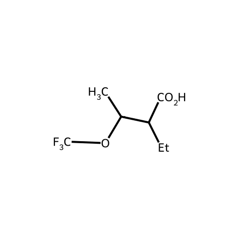 CCC([C](C)OC(F)(F)F)C(=O)O